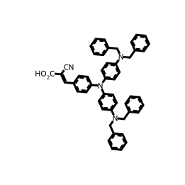 N#C/C(=C\c1ccc(N(c2ccc(N(Cc3ccccc3)Cc3ccccc3)cc2)c2ccc(N(Cc3ccccc3)Cc3ccccc3)cc2)cc1)C(=O)O